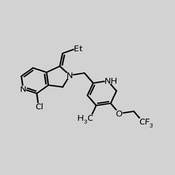 CC/C=C1/c2ccnc(Cl)c2CN1CC1=CC(C)=C(OCC(F)(F)F)CN1